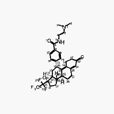 CN(C)CCNC(=O)c1ccc([C@H]2C[C@@]3(C)[C@@H](CC[C@@]3(O)C(F)(F)C(F)(F)F)[C@@H]3CCC4=CC(=O)CCC4=C32)cc1